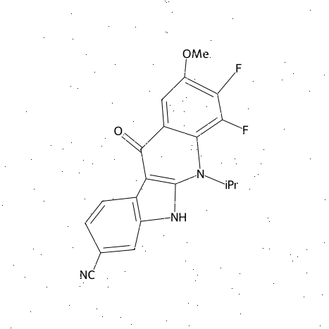 COc1cc2c(=O)c3c4ccc(C#N)cc4[nH]c3n(C(C)C)c2c(F)c1F